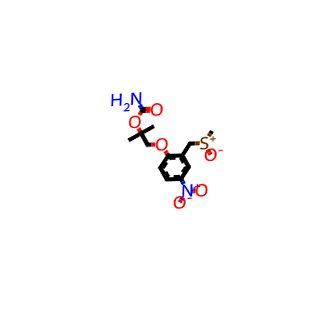 C[S+]([O-])Cc1cc([N+](=O)[O-])ccc1OCC(C)(C)OC(N)=O